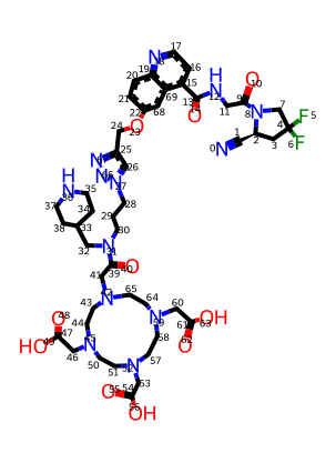 N#C[C@@H]1CC(F)(F)CN1C(=O)CNC(=O)c1ccnc2ccc(OCc3cn(CCCN(CC4CCNCC4)C(=O)CN4CCN(CC(=O)O)CCN(CC(=O)O)CCN(CC(=O)O)CC4)nn3)cc12